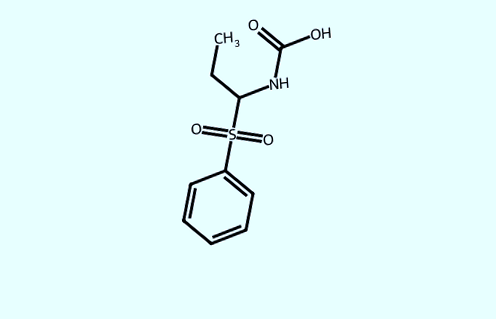 CCC(NC(=O)O)S(=O)(=O)c1ccccc1